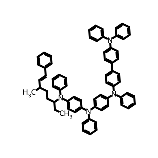 CCC(CCC(C)C=Cc1ccccc1)N(c1ccccc1)c1ccc(N(c2ccccc2)c2ccc(N(c3ccccc3)c3ccc(-c4ccc(N(c5ccccc5)c5ccccc5)cc4)cc3)cc2)cc1